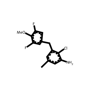 COc1c(F)cc(Cc2cc(C)cc(N)c2Cl)cc1F